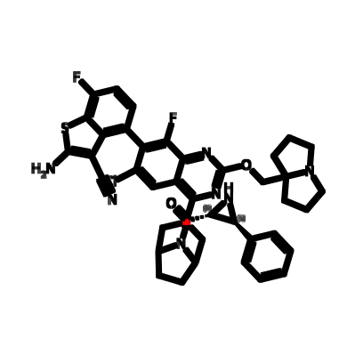 N#Cc1c(N)sc2c(F)ccc(-c3c(Cl)cc4c(N5CC6CCC(C5)N6C(=O)[C@@H]5N[C@H]5c5ccccc5)nc(OCC56CCCN5CCC6)nc4c3F)c12